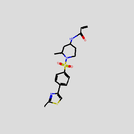 C=CC(=O)NC1CCN(S(=O)(=O)c2ccc(-c3csc(C)n3)cc2)C(C)C1